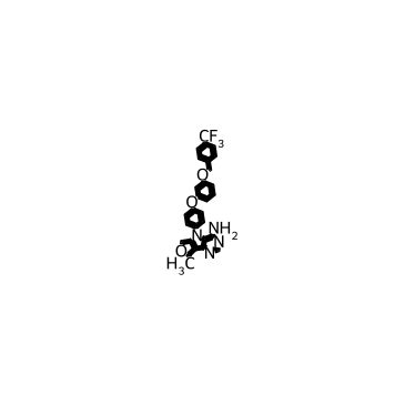 CC1OCc2c1c1ncnc(N)c1n2-c1ccc(Oc2cccc(OCc3ccc(C(F)(F)F)cc3)c2)cc1